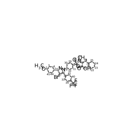 COc1ccc(-c2nn(-c3ccc(S(=O)(=O)N(C)C(Cc4ccccc4)C(=O)O)cc3)c(-c3ccc(C(F)(F)F)cc3)c2Br)cc1